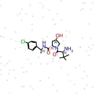 C[C@H](NC(=O)[C@@H]1C[C@@H](O)CN1C(=O)[C@@H](N)C(C)(C)C)c1ccc(Cl)cc1